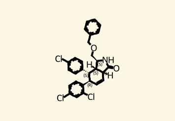 O=C1N[C@H](COCc2ccccc2)[C@H]2[C@@H](c3ccc(Cl)cc3)[C@H](c3ccc(Cl)cc3Cl)C=C[C@@H]12